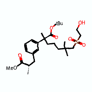 COC(=O)[C@@H](C)Cc1cccc(C(C)(CCCC(C)(C)CS(=O)(=O)CCO)C(=O)OC(C)(C)C)c1